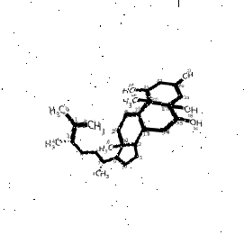 CC(C)[C@@H](C)CC[C@@H](C)C1CCC2C3CC(O)C4(O)CC(O)CC(O)C4(C)C3CCC21C